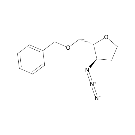 [N-]=[N+]=N[C@@H]1CCO[C@H]1COCc1ccccc1